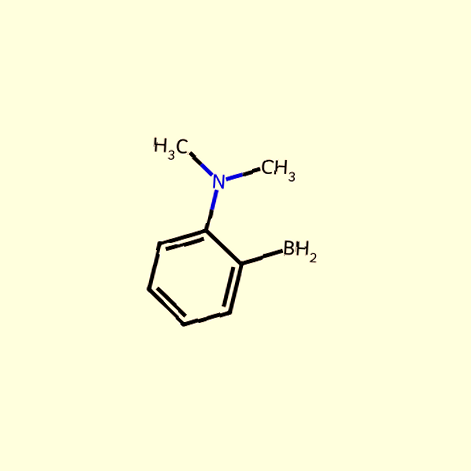 Bc1ccccc1N(C)C